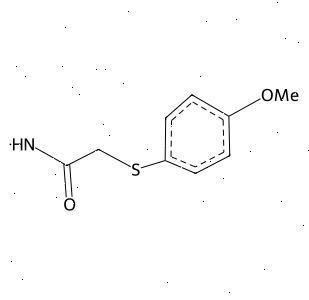 COc1ccc(SCC([NH])=O)cc1